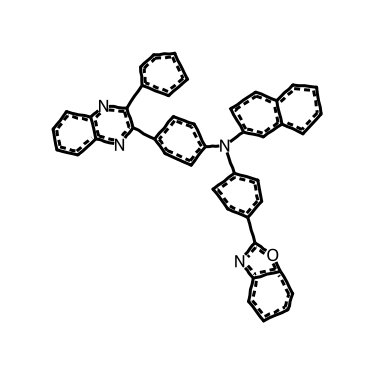 c1ccc(-c2nc3ccccc3nc2-c2ccc(N(c3ccc(-c4nc5ccccc5o4)cc3)c3ccc4ccccc4c3)cc2)cc1